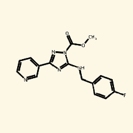 COC(=O)n1nc(-c2cccnc2)nc1NCc1ccc(F)cc1